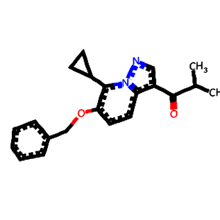 CC(C)C(=O)c1cnn2c(C3CC3)c(OCc3ccccc3)ccc12